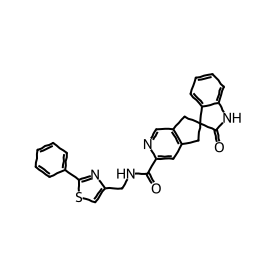 O=C(NCc1csc(-c2ccccc2)n1)c1cc2c(cn1)CC1(C2)C(=O)Nc2ccccc21